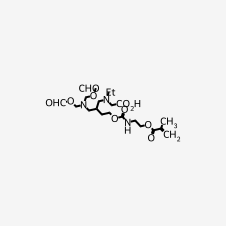 C=C(C)C(=O)OCCNC(=O)OCCC(CN(COC=O)COC=O)CN(CC)CC(=O)O